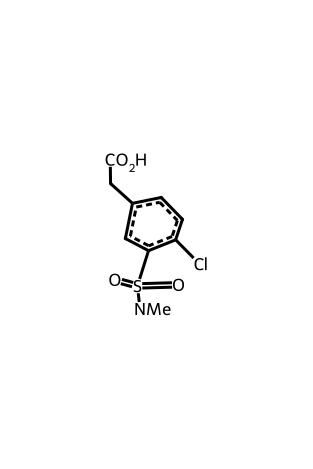 CNS(=O)(=O)c1cc(CC(=O)O)ccc1Cl